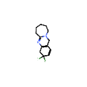 ClC1(Cl)C=CC2=C(C1)N=C1CCCCCN1C2